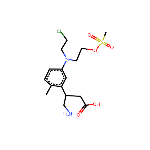 Cc1ccc(N(CCCl)CCOS(C)(=O)=O)cc1C(CN)CC(=O)O